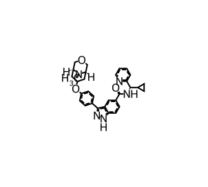 CN1[C@@H]2COC[C@H]1CC(Oc1ccc(-c3n[nH]c4ccc(C(=O)N[C@H](c5ccccn5)C5CC5)cc34)cc1)C2